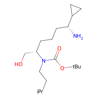 CC(C)CCN(C(=O)OC(C)(C)C)[C@H](CO)CCC[C@@H](N)C1CC1